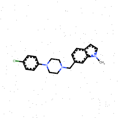 Cn1ccc2ccc(CN3CCN(c4ccc(Cl)cc4)CC3)cc21